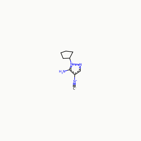 [C-]#[N+]c1cnn(C2CCCC2)c1N